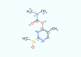 Cc1cnc([S+](C)[O-])nc1OC(=O)N(C)C